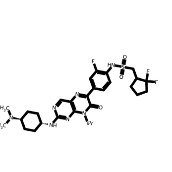 CC(C)n1c(=O)c(-c2ccc(NS(=O)(=O)CC3CCCC3(F)F)c(F)c2)nc2cnc(N[C@H]3CC[C@H](N(C)C)CC3)nc21